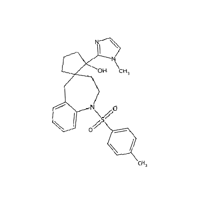 Cc1ccc(S(=O)(=O)N2CCC3(CCCC3(O)c3nccn3C)Cc3ccccc32)cc1